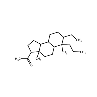 CCCC1(C)C(CC)CCC2C1CCC1(C)C(C(C)=O)CCC21